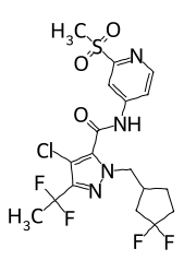 CC(F)(F)c1nn(CC2CCC(F)(F)C2)c(C(=O)Nc2ccnc(S(C)(=O)=O)c2)c1Cl